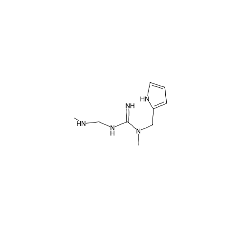 CNCNC(=N)N(C)Cc1ccc[nH]1